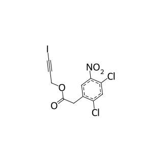 O=C(Cc1cc([N+](=O)[O-])c(Cl)cc1Cl)OCC#CI